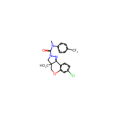 CN(C(=O)N1CC2(C(=O)O)COc3cc(Cl)ccc3C2=N1)c1ccc(C(F)(F)F)cc1